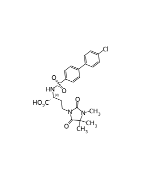 CN1C(=O)N(CC[C@@H](NS(=O)(=O)c2ccc(-c3ccc(Cl)cc3)cc2)C(=O)O)C(=O)C1(C)C